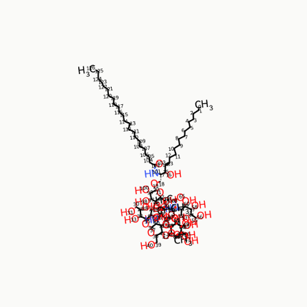 CCCCCCCCCCCCC/C=C/[C@@H](O)[C@H](CO[C@@H]1OC(CO)[C@@H](O[C@@H]2OC(CO)[C@H](O)[C@H](O[C@@H]3OC(CO)[C@@H](O[C@@H]4OC(CO)[C@H](O)[C@H](O[C@H]5OC(CO)[C@H](O)[C@H](O)C5NC(C)=O)C4O[C@H]4OC(C)[C@@H](O)C(O)[C@@H]4O)[C@H](O[C@H]4OC(C)[C@@H](O)C(O)[C@@H]4O)C3NC(C)=O)C2O)[C@H](O)C1O)NC(=O)CCCCCCCCCCCCCCCCCCCCCCC